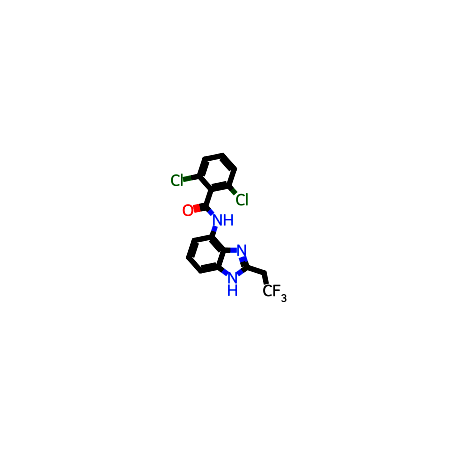 O=C(Nc1cccc2[nH]c(CC(F)(F)F)nc12)c1c(Cl)cccc1Cl